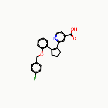 O=C(O)c1ccnc(C2=C(c3ccccc3OCc3ccc(F)cc3)CCC2)c1